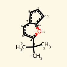 CC(C)(C)c1ccc2cccc-2o1